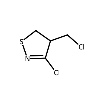 ClCC1CSN=C1Cl